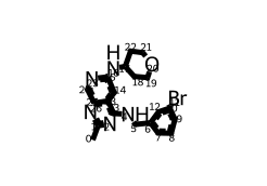 Cc1nc(NCc2cccc(Br)c2)c2cc(NC3CCOCC3)ncc2n1